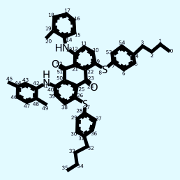 CCCCc1ccc(Sc2ccc(Nc3ccccc3C)c3c2C(=O)c2c(Sc4ccc(CCCC)cc4)ccc(Nc4cc(C)ccc4C)c2C3=O)cc1